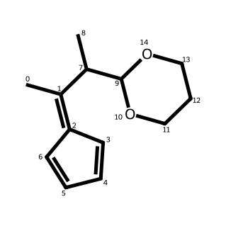 CC(=C1C=CC=C1)C(C)C1OCCCO1